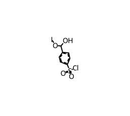 O=S(=O)(Cl)c1ccc(C(O)OI)cc1